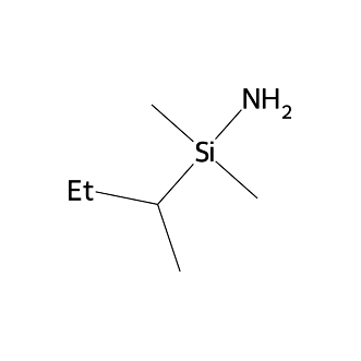 CCC(C)[Si](C)(C)N